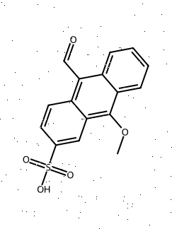 COc1c2ccccc2c(C=O)c2ccc(S(=O)(=O)O)cc12